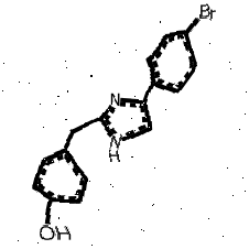 Oc1ccc(Cc2nc(-c3ccc(Br)cc3)c[nH]2)cc1